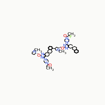 C=CC(=O)N1CCN(c2nc(OC[C@@H]3CCCN3C)nc3c2CC[C@@]2(CCc4c(cccc4C4C[C@@H](COc5nc6c(c(N7CCN(C(=O)C(=C)F)CC7)n5)CC[C@@]5(CCc7ccccc7C5)C6)N(C)C4)C2)C3)CC1